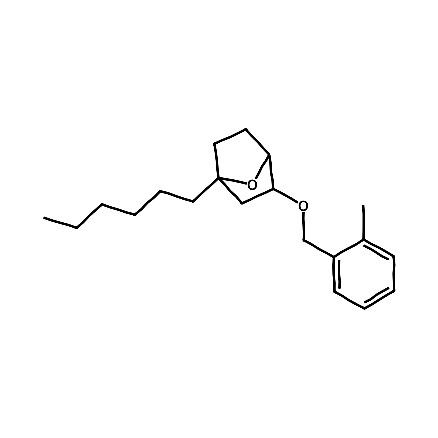 CCCCCCC12CCC(O1)C(OCc1ccccc1C)C2